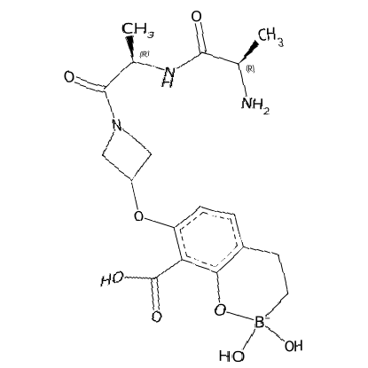 C[C@@H](N)C(=O)N[C@H](C)C(=O)N1CC(Oc2ccc3c(c2C(=O)O)O[B-](O)(O)CC3)C1